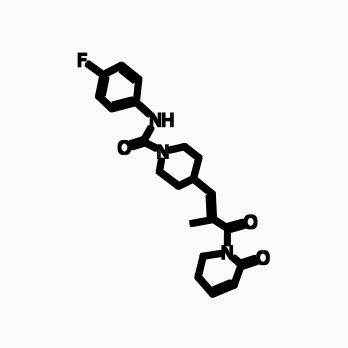 C/C(=C\C1CCN(C(=O)Nc2ccc(F)cc2)CC1)C(=O)N1CCC=CC1=O